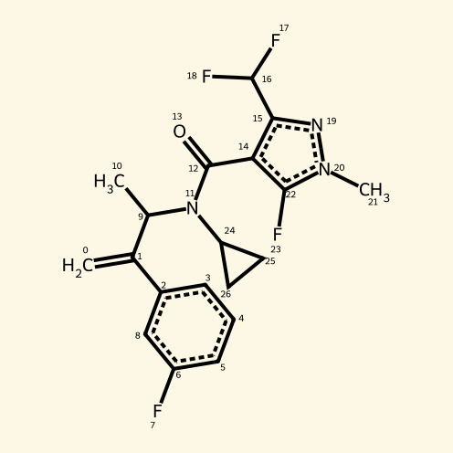 C=C(c1cccc(F)c1)C(C)N(C(=O)c1c(C(F)F)nn(C)c1F)C1CC1